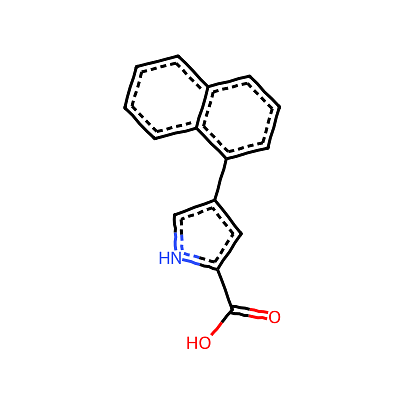 O=C(O)c1cc(-c2cccc3ccccc23)c[nH]1